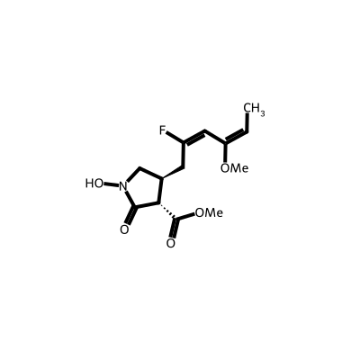 C/C=C(\C=C(\F)C[C@@H]1CN(O)C(=O)[C@H]1C(=O)OC)OC